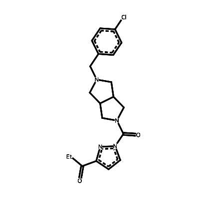 CCC(=O)c1ccn(C(=O)N2CC3CN(Cc4ccc(Cl)cc4)CC3C2)n1